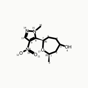 C[C@@H]1CC(O)CC[C@H](c2c([N+](=O)[O-])cnn2C)O1